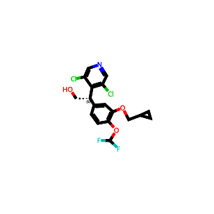 OC[C@@H](c1ccc(OC(F)F)c(OCC2CC2)c1)c1c(Cl)cncc1Cl